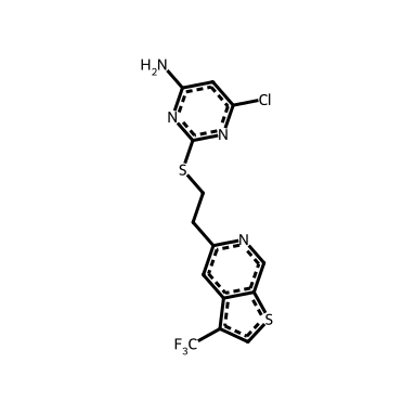 Nc1cc(Cl)nc(SCCc2cc3c(C(F)(F)F)csc3cn2)n1